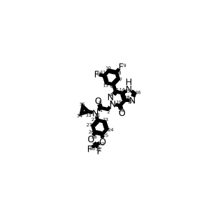 O=C(Cn1nc(-c2cc(F)cc(F)c2)c2[nH]cnc2c1=O)N(c1ccc2c(c1)OC(F)(F)O2)C1CC1